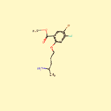 COC(=O)c1cc(Br)c(F)cc1OCCCC(C)N